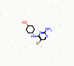 Nc1ncc(Br)c(N[C@H]2CC[C@H](O)CC2)n1